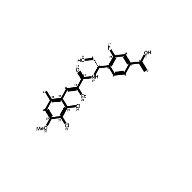 C=C(O)c1ccc([C@@H](CO)NC(=O)/C(=C/c2c(C)cc(OC)c(Cl)c2Cl)CC)c(F)c1